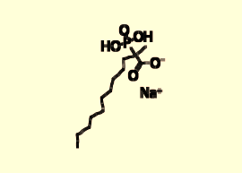 CCCCCCCCCCC(C)(C(=O)[O-])P(=O)(O)O.[Na+]